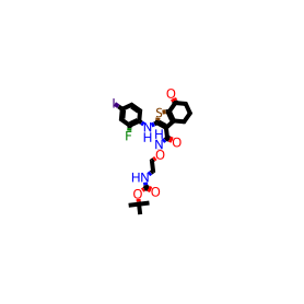 CC(C)(C)OC(=O)NCCONC(=O)c1c(Nc2ccc(I)cc2F)sc2c1CCCC2=O